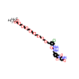 COC(COCCOCCOCCOCCOCCOCCOCCOCCc1cc(Cl)cc(NC(=O)NCc2ccc3c(c2)CN(C2CCC(=O)NC2=O)C3=O)c1)OC